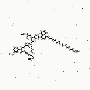 COC(=O)C[C@H](NC(=O)[C@H](CCCCNC(=O)OC(C)(C)C)NC(=O)CCCN(C(=O)OC(C)(C)C)c1cc(C)ccn1)c1ccc(-c2ccc(OCCOCCOCCOCCOCCN=[N+]=[N-])c3ccccc23)cc1